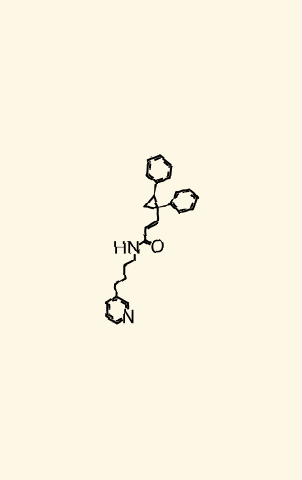 O=C(/C=C/[C@]1(c2ccccc2)C[C@H]1c1ccccc1)NCCCCc1cccnc1